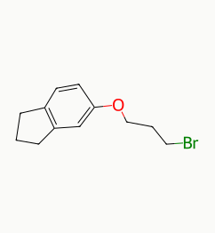 BrCCCOc1ccc2c(c1)CCC2